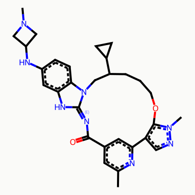 Cc1cc2cc(n1)-c1cnn(C)c1OCCCC(C1CC1)CN1/C(=N/C2=O)Nc2cc(NC3CN(C)C3)ccc21